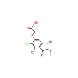 CCC1C(=O)c2c(cc(OCC(=O)O)c(Cl)c2Cl)C1Br